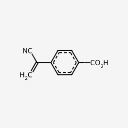 C=C(C#N)c1ccc(C(=O)O)cc1